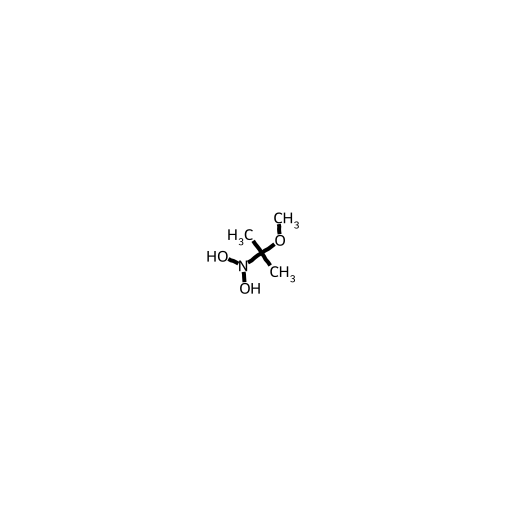 COC(C)(C)N(O)O